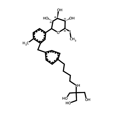 CS[C@H]1OC(c2ccc(C)c(Cc3ccc(CCCCNC(CO)(CO)CO)cc3)c2)[C@H](O)[C@@H](O)[C@@H]1O